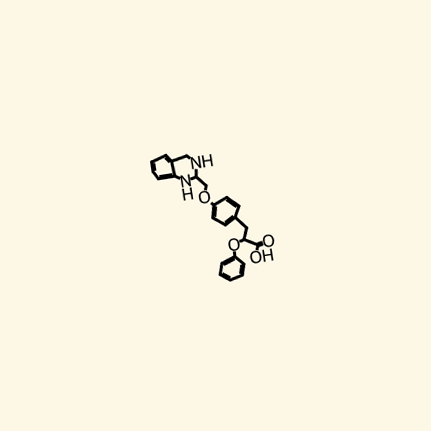 O=C(O)C(Cc1ccc(OCC2NCc3ccccc3N2)cc1)Oc1ccccc1